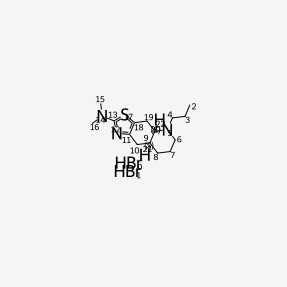 Br.Br.CCCN1CCC[C@H]2Cc3nc(N(C)C)sc3C[C@@H]21